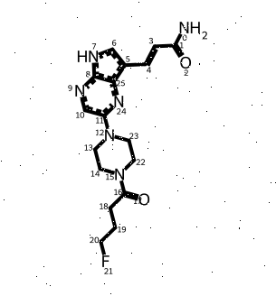 NC(=O)C=Cc1c[nH]c2ncc(N3CCN(C(=O)CCCF)CC3)nc12